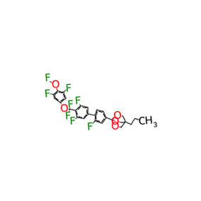 CCCC12COC(c3ccc(-c4cc(F)c(C(F)(F)Oc5cc(F)c(OCF)c(F)c5)c(F)c4)c(F)c3)(OC1)OC2